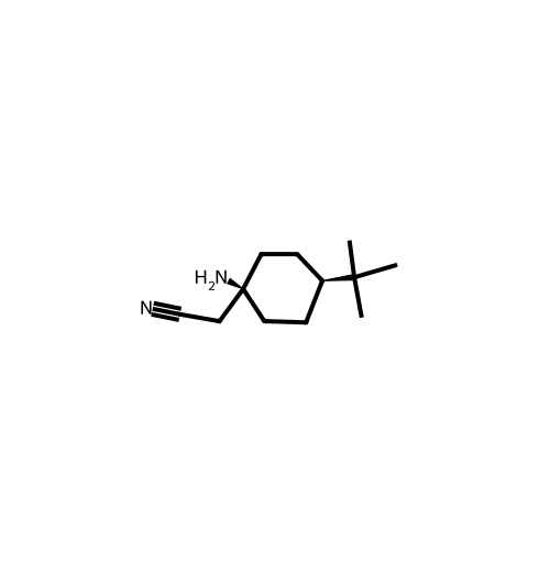 CC(C)(C)[C@H]1CC[C@](N)(CC#N)CC1